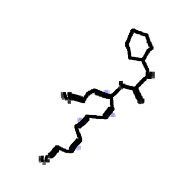 C=C\C=C/C=C\C=C/C(=C\C=C)SC(=O)NC1CCCCC1